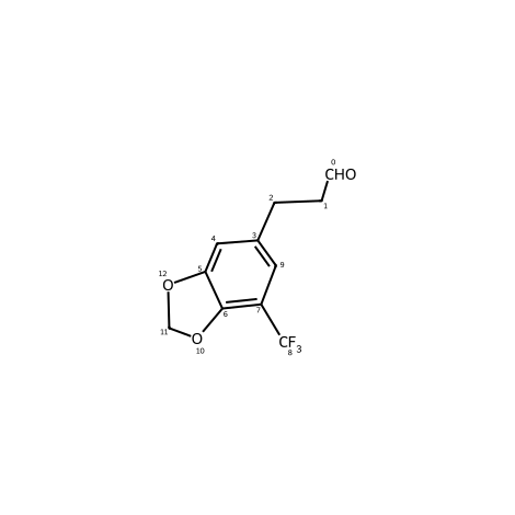 O=CCCc1cc2c(c(C(F)(F)F)c1)OCO2